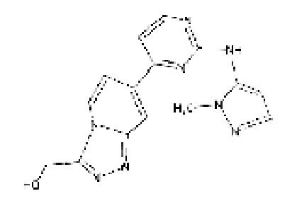 Cn1nccc1Nc1nccc(-c2ccn3c(CO)nnc3c2)n1